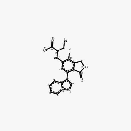 CC(C)C[C@@H](Nc1nc(-c2cnn3ccccc23)c2c(c1F)CNC2=O)C(N)=O